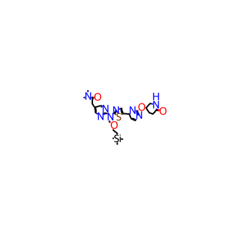 CN(C)C(=O)Cc1cnc(N(COCC[Si](C)(C)C)c2ncc(-c3ccnc(OC4CCC(=O)NC4)n3)s2)nc1